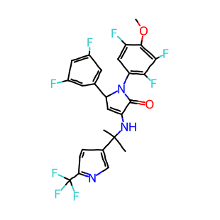 COc1c(F)cc(N2C(=O)C(NC(C)(C)c3ccc(C(F)(F)F)nc3)=CC2c2cc(F)cc(F)c2)c(F)c1F